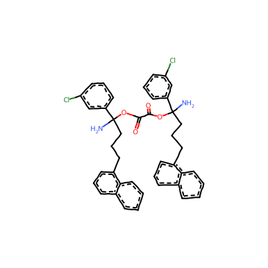 NC(CCCc1cccc2ccccc12)(OC(=O)C(=O)OC(N)(CCCc1cccc2ccccc12)c1cccc(Cl)c1)c1cccc(Cl)c1